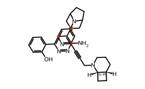 Nc1nnc(-c2ccccc2O)cc1N1CC2CCC(C1)N2c1ccnc(C#CCN2CCC[C@@H]3CC[C@@H]32)c1